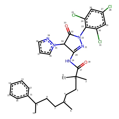 CCC(C)(CCC(C)CCC(C)c1ccccc1)C(=O)NC1=NN(c2c(Cl)cc(Cl)cc2Cl)C(=O)C1n1cccn1